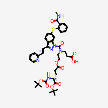 CNC(=O)c1ccccc1Sc1ccc2c(/C=C/c3ccccn3)nn(C(=O)N(CCOC(=O)CC[C@@H](NC(=O)OC(C)(C)C)C(=O)OC(C)(C)C)CCC(=O)O)c2c1